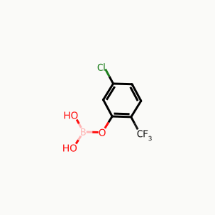 OB(O)Oc1cc(Cl)ccc1C(F)(F)F